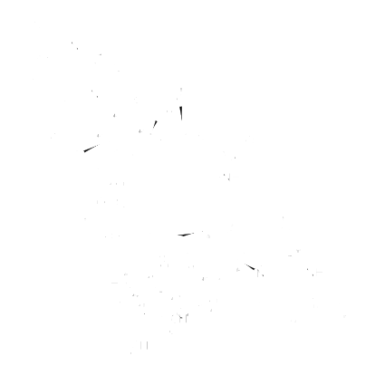 CO[C@@H]1[C@@H]2OP(=O)(OC)OC[C@@]3(CNC(=O)C[C@H](C)[C@H]2O[C@H]1n1ccc(=O)[nH]c1=O)O[C@@H](n1ccc(=O)[nH]c1=O)[C@H](OC)[C@@H]3O[Si](C)(C)C(C)(C)C